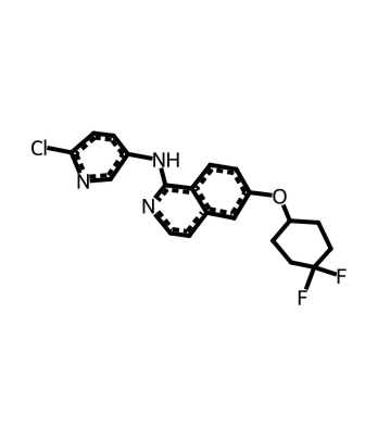 FC1(F)CCC(Oc2ccc3c(Nc4ccc(Cl)nc4)nccc3c2)CC1